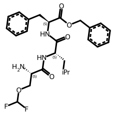 CC(C)C[C@H](NC(=O)[C@@H](N)COC(F)F)C(=O)N[C@@H](Cc1ccccc1)C(=O)OCc1ccccc1